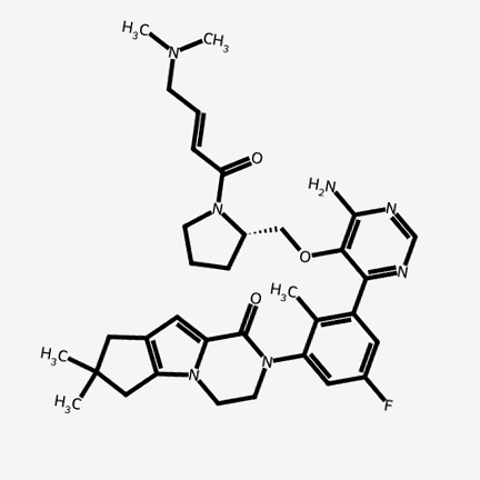 Cc1c(-c2ncnc(N)c2OC[C@@H]2CCCN2C(=O)/C=C/CN(C)C)cc(F)cc1N1CCn2c(cc3c2CC(C)(C)C3)C1=O